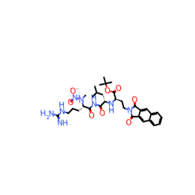 CC(C)C[C@H](N[C@H](CCN1C(=O)c2cc3ccccc3cc2C1=O)C(=O)OC(C)(C)C)C(=O)NC(=O)[C@H](CCCNC(=N)N)N(C)[N+](=O)[O-]